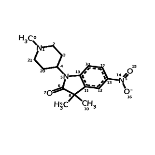 CN1CCC(N2C(=O)C(C)(C)c3cc([N+](=O)[O-])ccc32)CC1